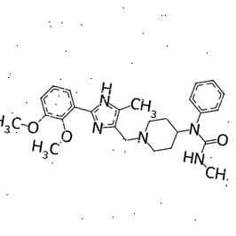 CNC(=O)N(c1ccccc1)C1CCN(Cc2nc(-c3cccc(OC)c3OC)[nH]c2C)CC1